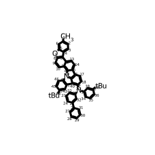 Cc1ccc2c(c1)oc1ccc3c(ccc4c5ccc(N(c6cccc(-c7ccccc7)c6)c6cccc(C(C)(C)C)c6)c6c7cc(C(C)(C)C)ccc7n(c34)c56)c12